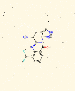 CC(N)c1nc2c(C(F)F)cccc2c(=O)n1-c1cc[nH]n1